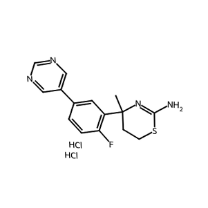 CC1(c2cc(-c3cncnc3)ccc2F)CCSC(N)=N1.Cl.Cl